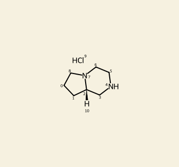 C1C[C@H]2CNCCN2C1.Cl